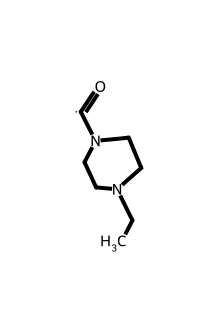 CCN1CCN([C]=O)CC1